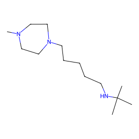 CN1CCN(CCCCCNC(C)(C)C)CC1